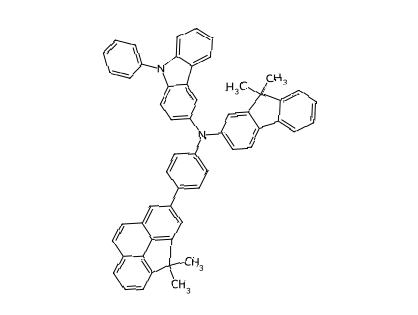 CC1(C)c2ccccc2-c2ccc(N(c3ccc(-c4cc5c6c(ccc7cccc(c76)C5(C)C)c4)cc3)c3ccc4c(c3)c3ccccc3n4-c3ccccc3)cc21